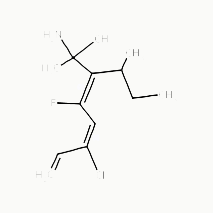 C=C/C(Cl)=C\C(F)=C(/C(C)CC)C(C)(C)N